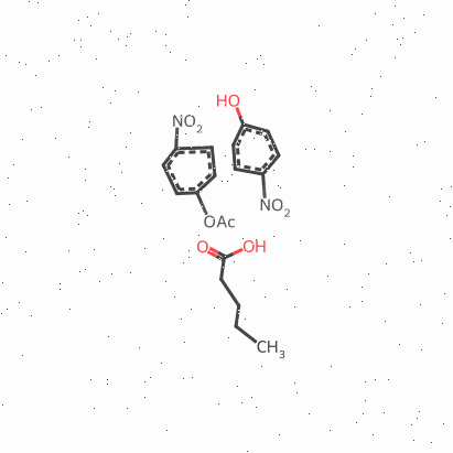 CC(=O)Oc1ccc([N+](=O)[O-])cc1.CCCCC(=O)O.O=[N+]([O-])c1ccc(O)cc1